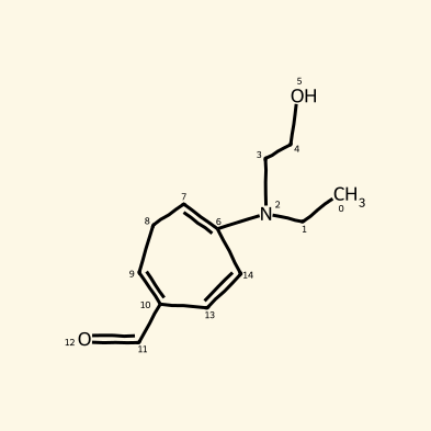 CCN(CCO)C1=CCC=C(C=O)C=C1